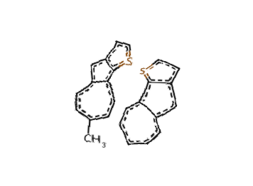 Cc1ccc2cc3ccsc3c-2cc1.c1ccc2cc3ccsc3c-2cc1